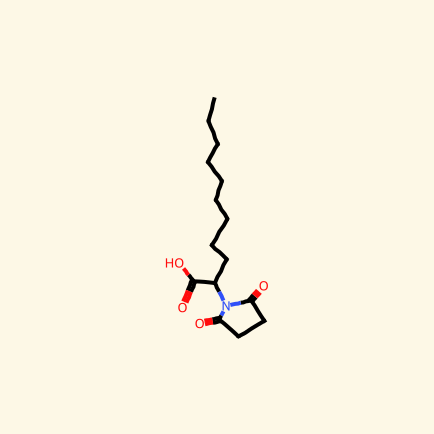 CCCCCCCCCC(C(=O)O)N1C(=O)CCC1=O